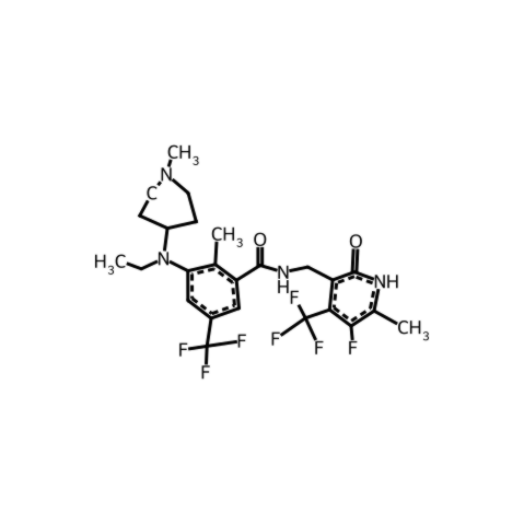 CCN(c1cc(C(F)(F)F)cc(C(=O)NCc2c(C(F)(F)F)c(F)c(C)[nH]c2=O)c1C)C1CCN(C)CC1